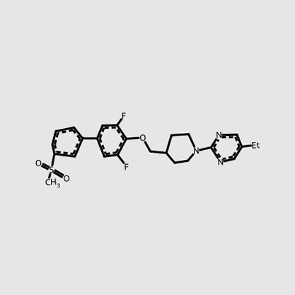 CCc1cnc(N2CCC(COc3c(F)cc(-c4cccc(S(C)(=O)=O)c4)cc3F)CC2)nc1